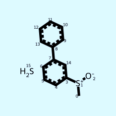 C[S+]([O-])c1cccc(-c2ccccc2)c1.S